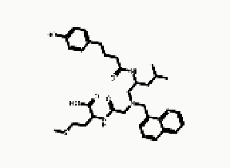 CSCCC(NC(=O)CN(Cc1cccc2ccccc12)CC(CC(C)C)NC(=O)CCCc1ccc(O)cc1)C(=O)O